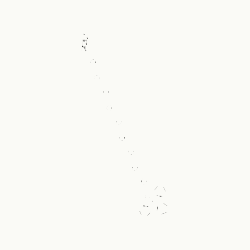 [N-]=[N+]=NCCOCCOCCOCCOCCOCCOCCOCCOCCOCCOC(c1ccccc1)(c1ccccc1)c1ccccc1